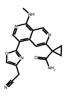 CNc1ncc(-c2nc(CC#N)co2)c2cc(C3(C(N)=O)CC3)ncc12